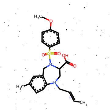 C/C=C/CN1CC(C(=O)O)N(S(=O)(=O)c2ccc(OC)cc2)Cc2cc(C)ccc21